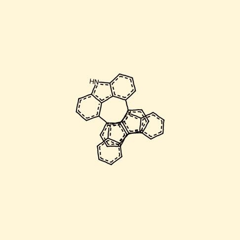 c1cc(-n2c3ccccc3c3ccccc32)c2c(c1)[nH]c1cccc(-n3c4ccccc4c4ccccc43)c12